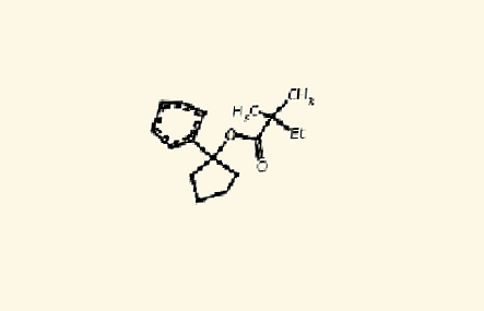 CCC(C)(C)C(=O)OC1(c2ccccc2)CCCC1